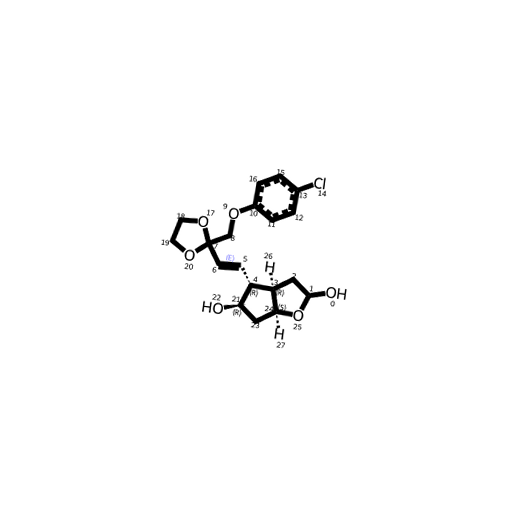 OC1C[C@@H]2[C@@H](/C=C/C3(COc4ccc(Cl)cc4)OCCO3)[C@H](O)C[C@@H]2O1